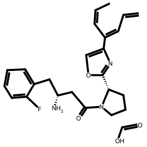 C=C/C=C(\C=C/C)c1coc([C@@H]2CCCN2C(=O)C[C@H](N)Cc2ccccc2F)n1.O=CO